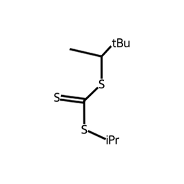 CC(C)SC(=S)SC(C)C(C)(C)C